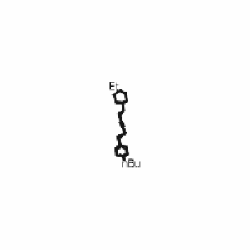 CCCCc1ccc(C=CC#CC=CC2CCC(CC)CC2)cc1